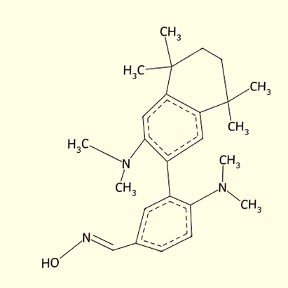 CN(C)c1ccc(C=NO)cc1-c1cc2c(cc1N(C)C)C(C)(C)CCC2(C)C